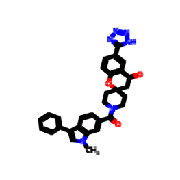 Cn1cc(-c2ccccc2)c2ccc(C(=O)N3CCC4(CC3)CC(=O)c3cc(-c5nnn[nH]5)ccc3O4)cc21